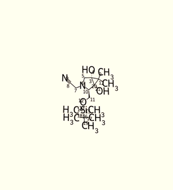 CC1(C)[C@]2(O)CN(CC#N)[C@H](CO[Si](C)(C)C(C)(C)C)[C@]12O